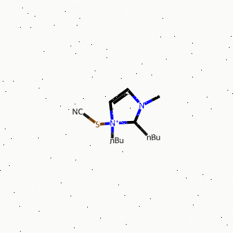 CCCCC1N(C)C=C[N+]1(CCCC)SC#N